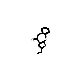 CCc1cc2c(s1)Sc1ccccc1CC2=O